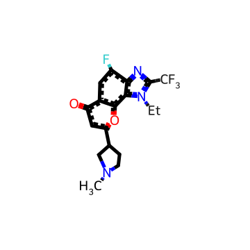 CCn1c(C(F)(F)F)nc2c(F)cc3c(=O)cc(C4CCN(C)C4)oc3c21